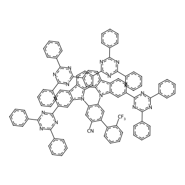 N#Cc1cc(-n2c3cc(-c4nc(-c5ccccc5)nc(-c5ccccc5)n4)ccc3c3ccc(-c4nc(-c5ccccc5)nc(-c5ccccc5)n4)cc32)c(-n2c3cc(-c4nc(-c5ccccc5)nc(-c5ccccc5)n4)ccc3c3ccc(-c4nc(-c5ccccc5)nc(-c5ccccc5)n4)cc32)cc1-c1ccccc1C(F)(F)F